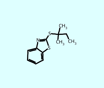 CCC(C)(C)Sc1nc2ccccc2s1